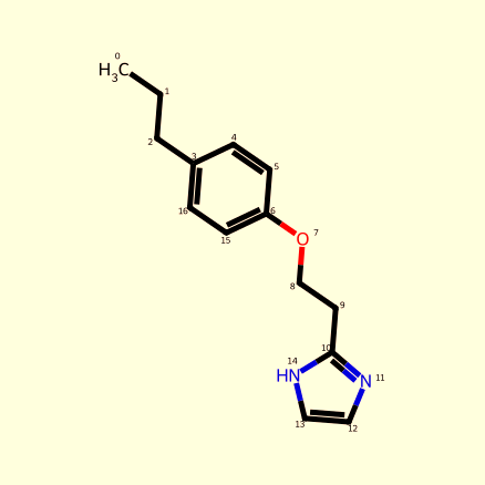 CCCc1ccc(OCCc2ncc[nH]2)cc1